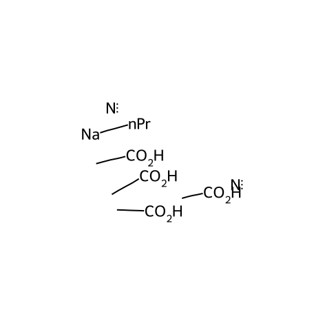 CC(=O)O.CC(=O)O.CC(=O)O.CC(=O)O.CC[CH2][Na].[N].[N]